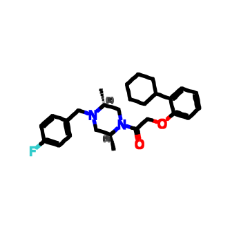 C[C@@H]1CN(C(=O)COc2ccccc2C2CCCCC2)[C@@H](C)CN1Cc1ccc(F)cc1